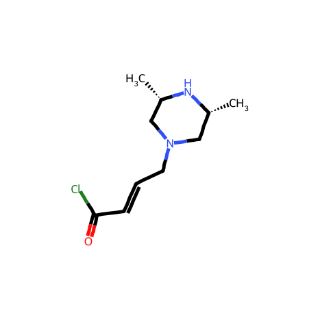 C[C@@H]1CN(C/C=C/C(=O)Cl)C[C@H](C)N1